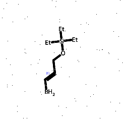 B/C=C/CO[Si](CC)(CC)CC